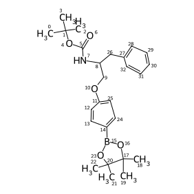 CC(C)(C)OC(=O)NC(COc1ccc(B2OC(C)(C)C(C)(C)O2)cc1)Cc1ccccc1